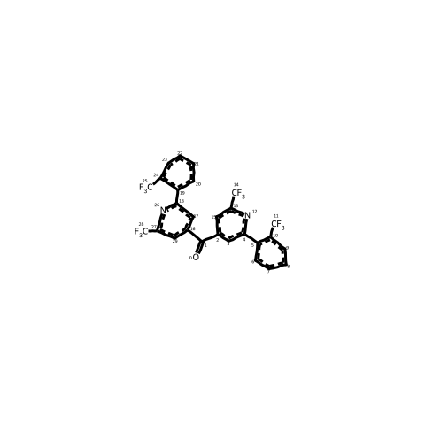 O=C(c1cc(-c2ccccc2C(F)(F)F)nc(C(F)(F)F)c1)c1cc(-c2ccccc2C(F)(F)F)nc(C(F)(F)F)c1